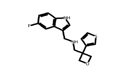 Fc1ccc2[nH]cc(CNCC3(c4ccsc4)COC3)c2c1